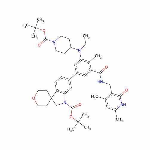 CCN(c1cc(-c2ccc3c(c2)N(C(=O)OC(C)(C)C)CC32CCOCC2)cc(C(=O)NCc2c(C)cc(C)[nH]c2=O)c1C)C1CCN(C(=O)OC(C)(C)C)CC1